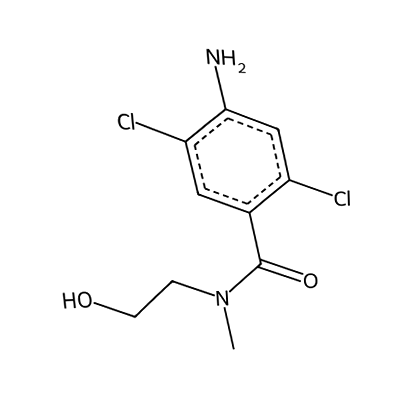 CN(CCO)C(=O)c1cc(Cl)c(N)cc1Cl